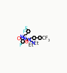 CCN(CC)CCN(Cc1ccc(-c2ccc(C(F)(F)F)cc2)cc1)C(=O)Cn1c(CCc2cccc(F)c2F)nc(=O)c2cc(F)ccc21